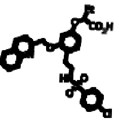 CCC(Oc1ccc(CCNS(=O)(=O)c2ccc(Cl)cc2)c(OCc2ccc3ccccc3n2)c1)C(=O)O